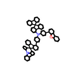 c1ccc2c(c1)-c1ccccc1C21c2ccccc2-c2c(N(c3ccc(-c4cccc5c4-c4ccccc4C54c5ccccc5-n5c6ccccc6c6cccc4c65)cc3)c3ccc(-c4cccc5c4oc4ccccc45)cc3)cccc21